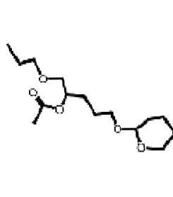 CCCOCC(CCCOC1CCCCO1)OC(C)=O